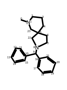 CN1CCCC2(CCN(C(c3ccccc3)c3ccccc3)C2)C1